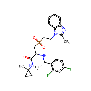 N#CC1(NC(=O)C(CS(=O)(=O)CCn2c(C(F)(F)F)nc3ccccc32)N[C@H](c2ccc(F)cc2F)C(F)(F)F)CC1